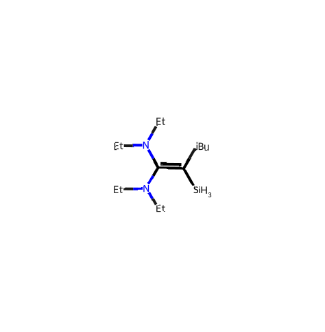 CCC(C)C([SiH3])=C(N(CC)CC)N(CC)CC